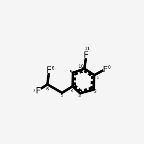 Fc1ccc(CC(F)F)cc1F